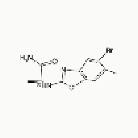 Cc1cc2oc(N[C@@H](C)C(N)=O)nc2cc1Br